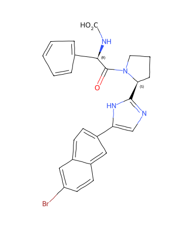 O=C(O)N[C@@H](C(=O)N1CCC[C@H]1c1ncc(-c2ccc3cc(Br)ccc3c2)[nH]1)c1ccccc1